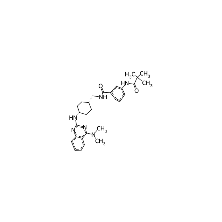 CN(C)c1nc(N[C@H]2CC[C@@H](CNC(=O)c3cccc(NC(=O)C(C)(C)C)c3)CC2)nc2ccccc12